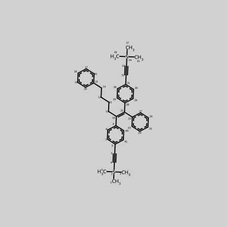 CS(C)(C)C#Cc1ccc(/C(CCCCc2ccccc2)=C(\c2ccccc2)c2ccc(C#CS(C)(C)C)cc2)cc1